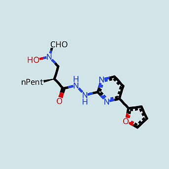 CCCCC[C@@H](CN(O)C=O)C(=O)NNc1nccc(-c2ccco2)n1